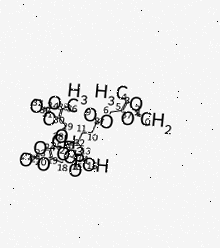 C=C1OC(C)=C(COC(=O)CCC(CP(=O)(O)OCc2oc(=O)oc2C)C(=O)OCc2oc(=O)oc2C)O1